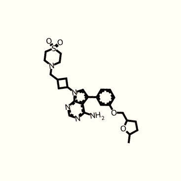 CC1CCC(COc2cccc(-c3cn(C4CC(CN5CCS(=O)(=O)CC5)C4)c4ncnc(N)c34)c2)O1